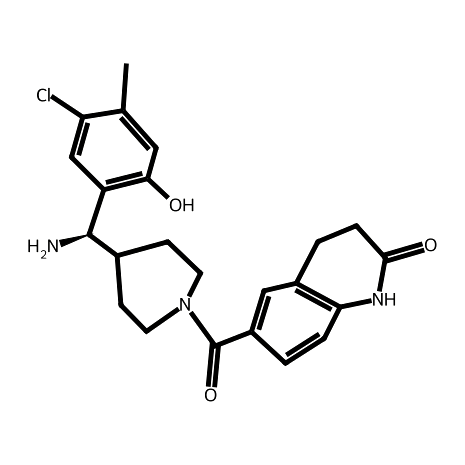 Cc1cc(O)c([C@H](N)C2CCN(C(=O)c3ccc4c(c3)CCC(=O)N4)CC2)cc1Cl